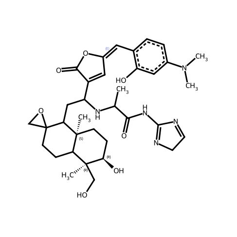 CC(NC(CC1C2(CCC3[C@]1(C)CC[C@@H](O)[C@@]3(C)CO)CO2)C1=C/C(=C\c2ccc(N(C)C)cc2O)OC1=O)C(=O)NC1=NCC=N1